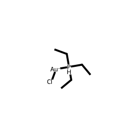 CC[PH](CC)(CC)[Au-][Cl]